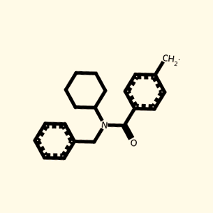 [CH2]c1ccc(C(=O)N(Cc2ccccc2)C2CCCCC2)cc1